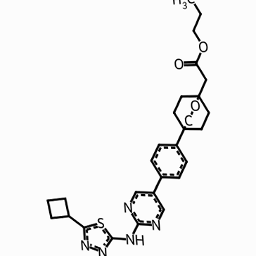 CCCOC(=O)CC12CCC(c3ccc(-c4cnc(Nc5nnc(C6CCC6)s5)nc4)cc3)(CC1)CO2